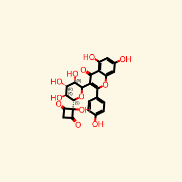 O=C1CC(=O)C1(O)[C@H]1OC(c2c(-c3ccc(O)cc3)oc3cc(O)cc(O)c3c2=O)[C@H](O)[C@@H](O)[C@@H]1O